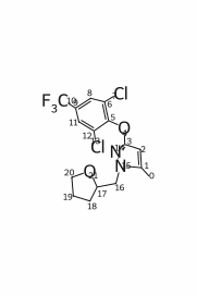 Cc1cc(Oc2c(Cl)cc(C(F)(F)F)cc2Cl)nn1CC1CCCO1